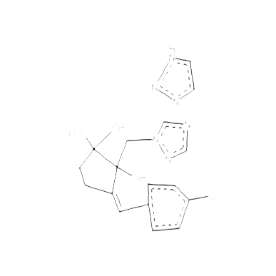 CC1(C)CCC(=Cc2ccc(Cl)cc2)C1(O)Cn1cncn1.c1c[nH]nn1